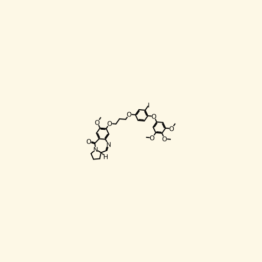 COc1cc2c(cc1OCCCOc1ccc(Oc3cc(OC)c(OC)c(OC)c3)c(I)c1)N=C[C@@H]1CCCN1C2=O